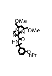 CCCOc1cccc(C(C)(C)NC(=O)c2ncn3c(COC)cc(COC)nc23)c1